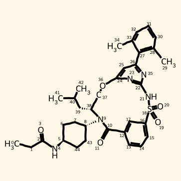 CCC(=O)N[C@H]1CC[C@H](N2C(=O)c3cccc(c3)S(=O)(=O)Nc3nc(cc(-c4c(C)cccc4C)n3)OC[C@H]2CC(C)C)CC1